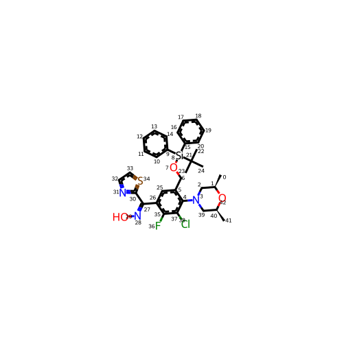 C[C@@H]1CN(c2c(CO[Si](c3ccccc3)(c3ccccc3)C(C)(C)C)cc(C(=NO)c3nccs3)c(F)c2Cl)C[C@H](C)O1